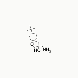 CC(C)(C)C1CCC2(CC1)CC(O)(CN)CO2